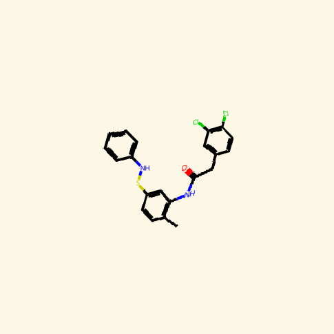 Cc1ccc(SNc2ccccc2)cc1NC(=O)Cc1ccc(Cl)c(Cl)c1